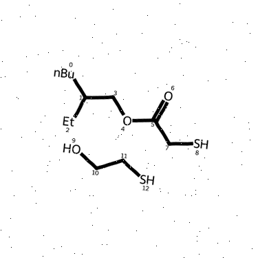 CCCCC(CC)COC(=O)CS.OCCS